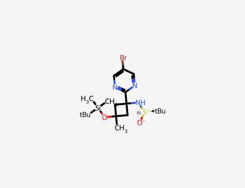 CC1(O[Si](C)(C)C(C)(C)C)CC(N[S@+]([O-])C(C)(C)C)(c2ncc(Br)cn2)C1